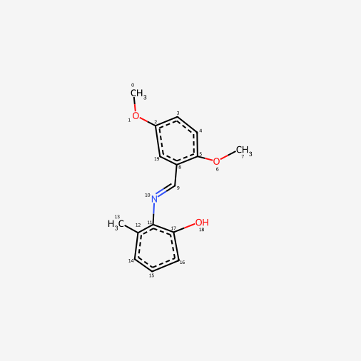 COc1ccc(OC)c(/C=N/c2c(C)cccc2O)c1